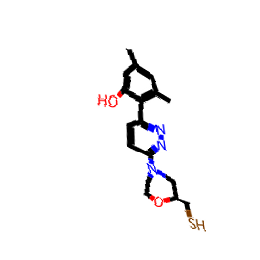 Cc1cc(C)c(-c2ccc(N3CCO[C@H](CS)C3)nn2)c(O)c1